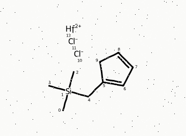 C[Si](C)(C)CC1=CC=CC1.[Cl-].[Cl-].[Hf+2]